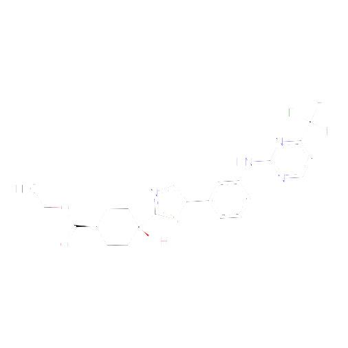 CCOC(=O)[C@H]1CC[C@](O)(c2ncc(-c3cccc(Nc4nccc(C(F)(F)F)n4)c3)s2)CC1